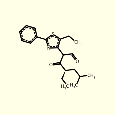 CCc1sc(-c2ccccc2)nc1C(C=O)C(=O)[C@H](CC)CC(C)C